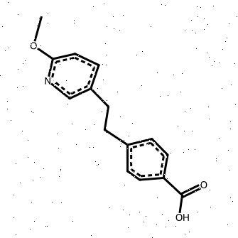 COc1ccc(CCc2ccc(C(=O)O)cc2)cn1